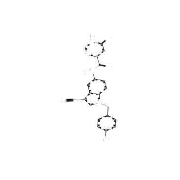 N#Cc1cn(Cc2ccc(Cl)cc2)c2ccc(NC(=O)c3cc(=O)[nH]cn3)cc12